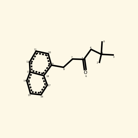 CC(C)(C)CC(=O)CCc1cccc2ccccc12